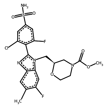 COC(=O)N1CCO[C@@H](Cn2c(-c3c(F)cc(S(N)(=O)=O)cc3Cl)nc3cc(C)c(F)cc32)C1